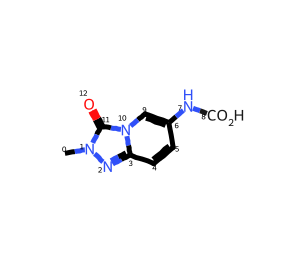 Cn1nc2ccc(NC(=O)O)cn2c1=O